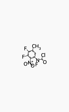 Cc1cc(N(F)C(=O)Cl)c([N+](=O)[O-])c(F)c1F